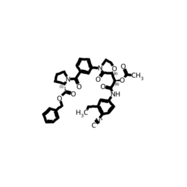 [C-]#[N+]c1ccc(NC(=O)[C@H](OC(C)=O)[C@H]2OCCN(c3cccc(C(=O)N4CCC[C@H]4C(=O)OCc4ccccc4)c3)C2=O)cc1CC